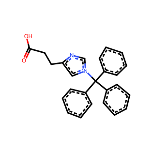 O=C(O)CCc1cn(C(c2ccccc2)(c2ccccc2)c2ccccc2)cn1